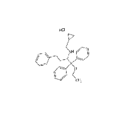 CCOC(c1ccccc1)(c1ccccc1)C(CCc1ccccc1)NCC1CC1.Cl